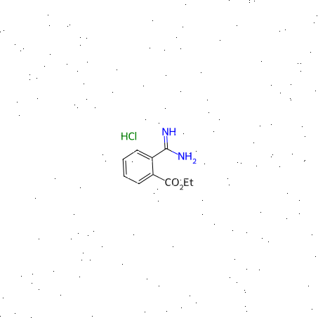 CCOC(=O)c1ccccc1C(=N)N.Cl